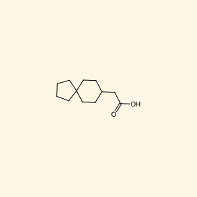 O=C(O)CC1CCC2(CCCC2)CC1